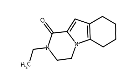 CCN1CCn2c(cc3c2CCCC3)C1=O